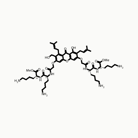 COC(=O)[C@H](CCCCN)NC(=O)[C@H](CCCCN)NC(=O)COc1cc2oc3cc(OCC(=O)N[C@@H](CCCCN)C(=O)N[C@@H](CCCCN)C(=O)OC)c(CO)c(CC=C(C)C)c3c(=O)c2c(O)c1CC=C(C)C